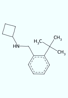 CC(C)(C)c1ccccc1CNC1CCC1